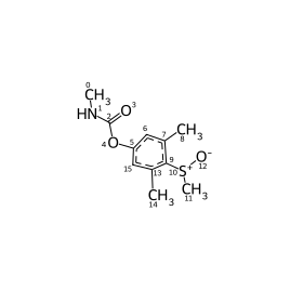 CNC(=O)Oc1cc(C)c([S+](C)[O-])c(C)c1